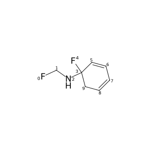 FCNC1(F)C=CC=CC1